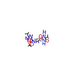 CC(C)c1noc([C@H](CSSC[C@@H]2NC(=O)C(C(C)C)NC2=O)NC(=O)OC(C)(C)C)n1